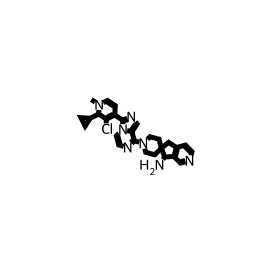 CN1C=CC(c2ncc3c(N4CCC5(CC4)Cc4ccncc4C5N)nccn23)=C(Cl)C1C1CC1